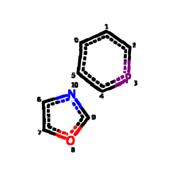 c1ccpcc1.c1cocn1